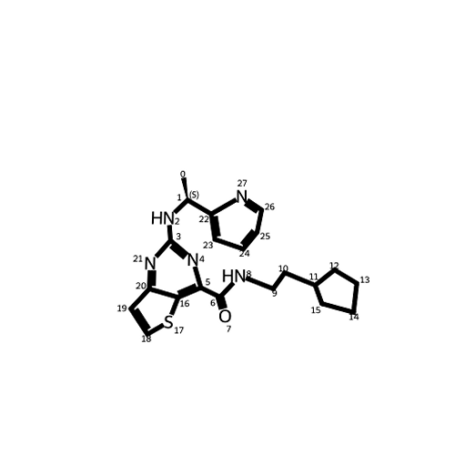 C[C@H](Nc1nc(C(=O)NCCC2CCCC2)c2sccc2n1)c1ccccn1